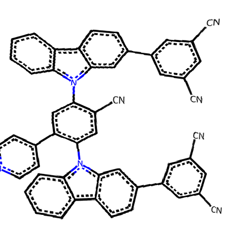 N#Cc1cc(C#N)cc(-c2ccc3c4ccccc4n(-c4cc(-c5ccncc5)c(-n5c6ccccc6c6ccc(-c7cc(C#N)cc(C#N)c7)cc65)cc4C#N)c3c2)c1